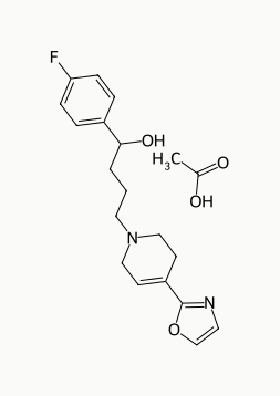 CC(=O)O.OC(CCCN1CC=C(c2ncco2)CC1)c1ccc(F)cc1